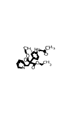 CCOC(=O)C(Cc1ccccn1)(C(=O)OCC)c1ccc(NC(C)=O)cc1